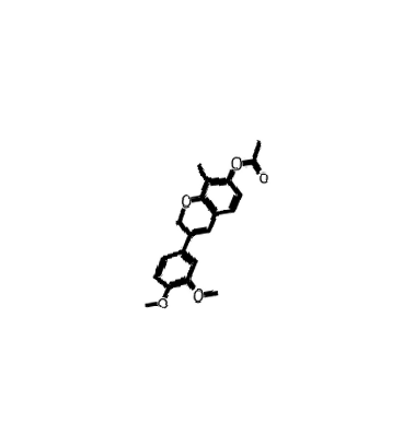 COc1ccc(C2=Cc3ccc(OC(C)=O)c(C)c3OC2)cc1OC